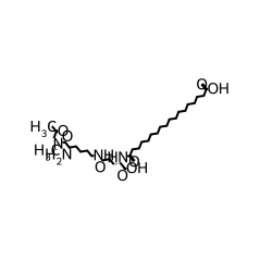 CC(=O)CN(C)C(=O)[C@@H](N)CCCCNC(=O)CC[C@H](NC(=O)CCCCCCCCCCCCCCCCC(=O)O)C(=O)O